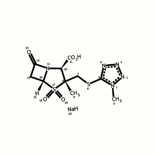 Cn1nnnc1SC[C@@]1(C)[C@H](C(=O)O)N2C(=O)C[C@H]2S1(=O)=O.[NaH]